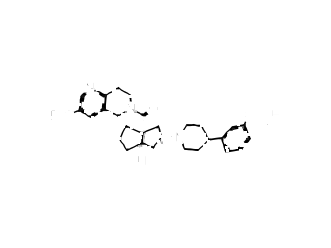 O=C(O)c1cccc(C2CCN([C@@H]3C[C@H]4CCC[C@@]4(C(=O)N4CCc5ncc(C(F)(F)F)cc5C4)C3)CC2)c1